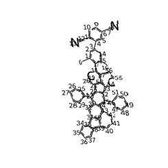 Cc1cc(-c2cc(C#N)ccc2C#N)cc(C)c1-c1ccc2c3c(-c4ccccc4)c4cc5c6ccccc6c6cccc(c4c(-c4ccccc4)c3c3cccc1c23)c65